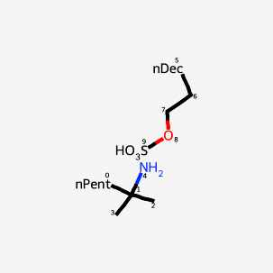 CCCCCC(C)(C)N.CCCCCCCCCCCCOS(=O)(=O)O